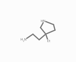 CCC1(CCN)CCNC1